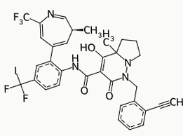 C#Cc1ccccc1CN1C(=O)C(C(=O)Nc2ccc(C(F)(F)I)cc2C2=C[C@H](C)C=NC(C(F)(F)F)=C2)=C(O)C2(C)CCCN12